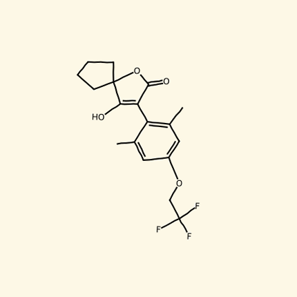 Cc1cc(OCC(F)(F)F)cc(C)c1C1=C(O)C2(CCCC2)OC1=O